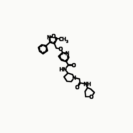 Cc1onc(-c2ccccc2)c1COc1ccc(C(=O)NC2CCCN(CC(=O)NC3CCOCC3)C2)cn1